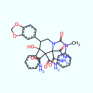 CN(C(=O)N1CC(c2ccc3c(c2)OCO3)C(O)(c2ccccc2)C(C(N)=O)(C(N)=O)C1(C(N)=O)C(N)=O)c1ccccc1